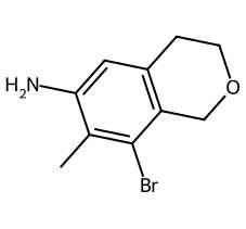 Cc1c(N)cc2c(c1Br)COCC2